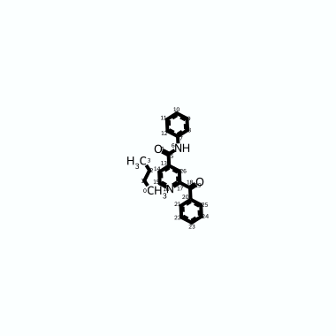 CCCC.O=C(Nc1ccccc1)c1ccnc(C(=O)c2ccccc2)c1